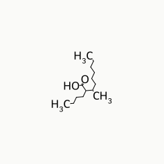 CCCCCCC(C)C(CCCC)C(=O)O